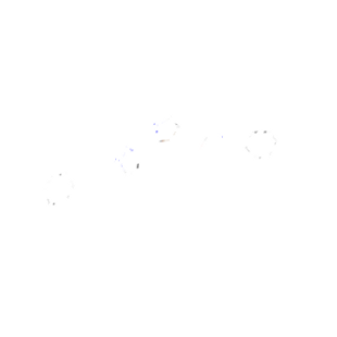 Cc1nc(-c2ccn(CC(C)c3ccccc3)n2)sc1OC(=O)NCc1ccccc1